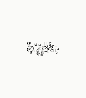 CC(C)(C)N1C=CC2(CC1)COc1c2ccc2c1COC2=O